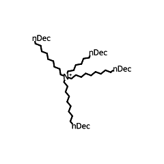 CCCCCCCCCCCCCCCCCCC[N+](CCCCCCCCCCCCCCCC)(CCCCCCCCCCCCCCCCCCC)CCCCCCCCCCCCCCCCCCC